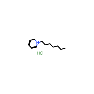 CCCCCCCN1C=CC=CC1.Cl